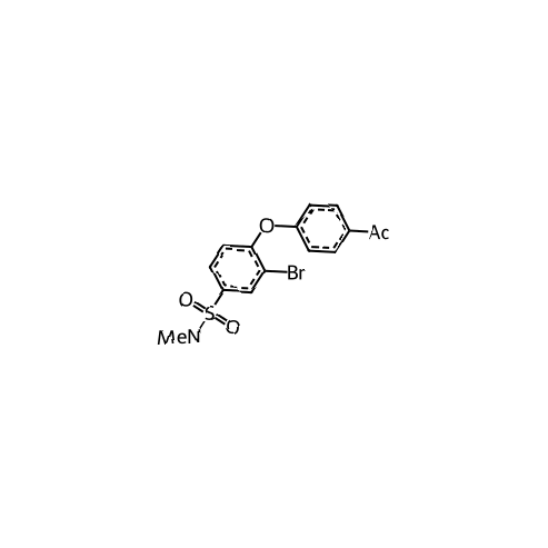 CNS(=O)(=O)c1ccc(Oc2ccc(C(C)=O)cc2)c(Br)c1